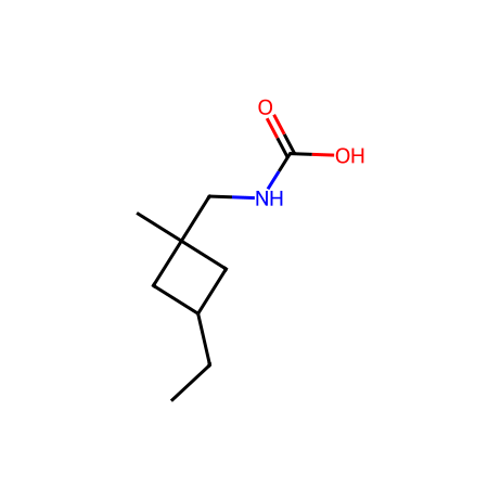 CCC1CC(C)(CNC(=O)O)C1